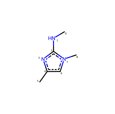 CNc1nc(C)cn1C